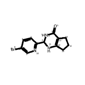 O=C1NC(c2ccc(Br)cn2)NC2=C1CCC2